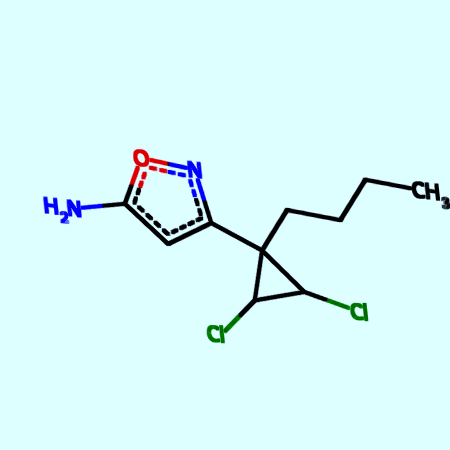 CCCCC1(c2cc(N)on2)C(Cl)C1Cl